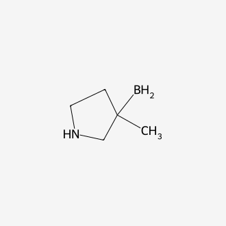 BC1(C)CCNC1